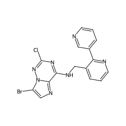 Clc1nc(NCc2cccnc2-c2cccnc2)c2ncc(Br)n2n1